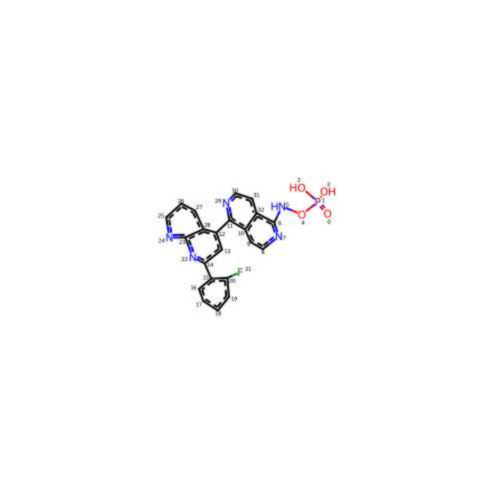 O=P(O)(O)ONc1nccc2c(-c3cc(-c4ccccc4F)nc4ncccc34)nccc12